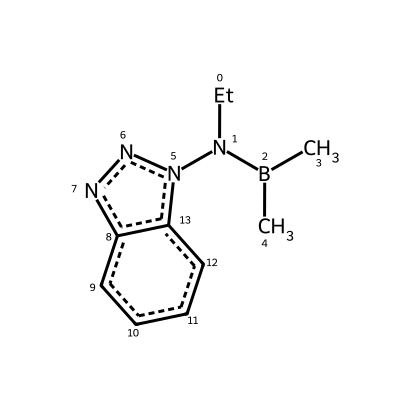 CCN(B(C)C)n1nnc2ccccc21